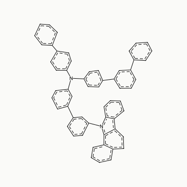 c1ccc(-c2ccc(N(c3ccc(-c4cccc(-c5ccccc5)c4)cc3)c3cccc(-c4cccc(-n5c6ccccc6c6ccc7ccccc7c65)c4)c3)cc2)cc1